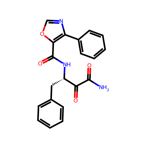 NC(=O)C(=O)[C@H](Cc1ccccc1)NC(=O)c1ocnc1-c1ccccc1